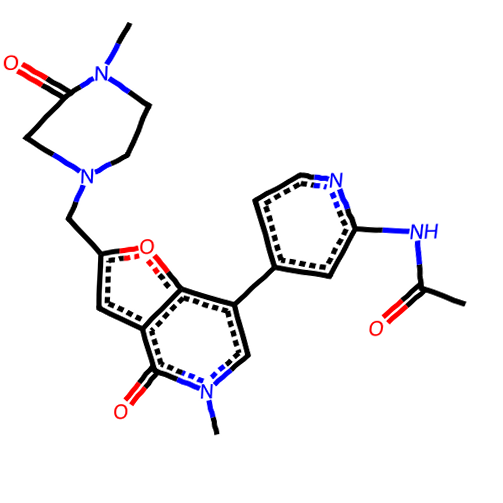 CC(=O)Nc1cc(-c2cn(C)c(=O)c3cc(CN4CCN(C)C(=O)C4)oc23)ccn1